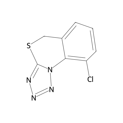 Clc1cccc2c1-n1nnnc1SC2